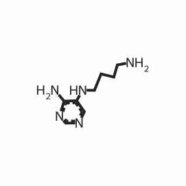 NCCCCNc1cncnc1N